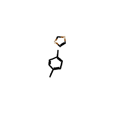 C1=CSCS1.Cc1ccc(C)cc1